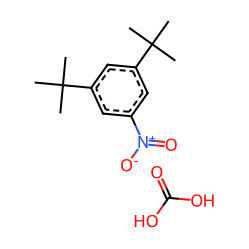 CC(C)(C)c1cc([N+](=O)[O-])cc(C(C)(C)C)c1.O=C(O)O